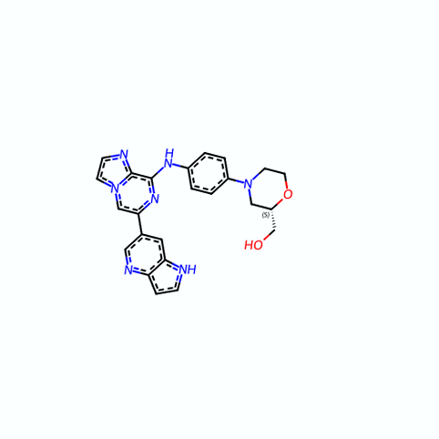 OC[C@@H]1CN(c2ccc(Nc3nc(-c4cnc5cc[nH]c5c4)cn4ccnc34)cc2)CCO1